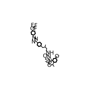 COc1ccc(C(C)C)c(N2C(=O)CS/C2=N\C(=O)NCCC(C)Cc2ccc(-c3ncn(-c4ccc(OC(F)(F)F)cc4)n3)cc2)c1